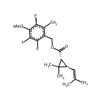 COc1c(F)c(C)c(COC(=O)[C@@H]2[C@@H](C=C(C)C)C2(C)C)c(F)c1F